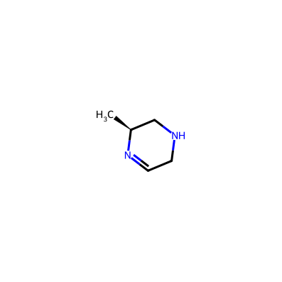 C[C@H]1CNCC=N1